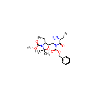 CC(C)CC1C(CN(C(=O)OCc2ccccc2)C(=O)[C@@H](N)CC(C)C)OC(C)(C)N1C(=O)OC(C)(C)C